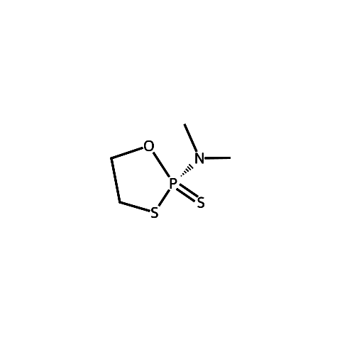 CN(C)[P@@]1(=S)OCCS1